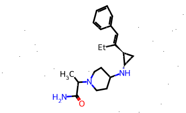 CC/C(=C\c1ccccc1)[C@H]1C[C@@H]1NC1CCN(C(C)C(N)=O)CC1